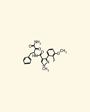 COc1cccc(-c2nn(C)cc2C(=O)NC(Cc2ccccc2)C(=O)C(N)=O)c1F